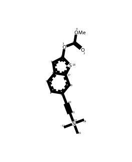 COC(=O)Oc1cc2ccc(C#C[Si](C)(C)C)cc2s1